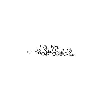 COc1ccc(NC(=O)[C@@H](CCCN)NC(=O)c2cc(NC(=O)[C@@H](CCCN)NC(=O)c3cc(NC(=O)[C@H](C)CCCN)ccc3O)ccc2OC)cc1C(N)=O